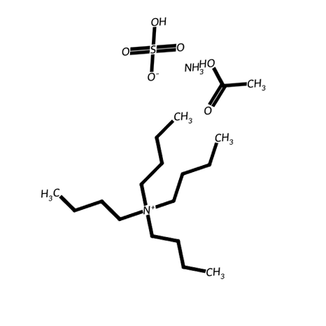 CC(=O)O.CCCC[N+](CCCC)(CCCC)CCCC.N.O=S(=O)([O-])O